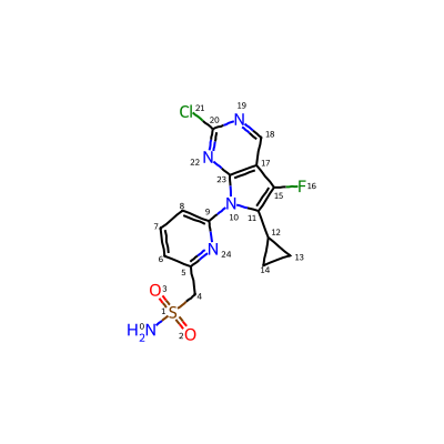 NS(=O)(=O)Cc1cccc(-n2c(C3CC3)c(F)c3cnc(Cl)nc32)n1